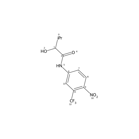 CC(C)C(O)C(=O)Nc1ccc([N+](=O)[O-])c(C(F)(F)F)c1